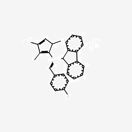 CC1=[C](/[Zr+2](=[CH]/c2ccc(F)cc2)[CH]2c3ccccc3-c3ccccc32)C(C)C=C1C(C)(C)C.[Cl-].[Cl-]